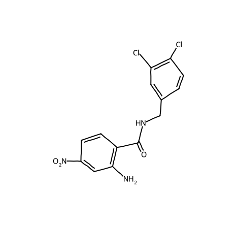 Nc1cc([N+](=O)[O-])ccc1C(=O)NCc1ccc(Cl)c(Cl)c1